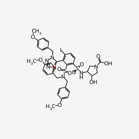 COc1ccc(CN(Cc2ccc(OC)cc2)S(=O)(=O)c2c(S(=O)(=O)NC3CN(C(=O)O)CC3O)ccc(I)c2-c2nnnn2Cc2ccc(OC)cc2)cc1